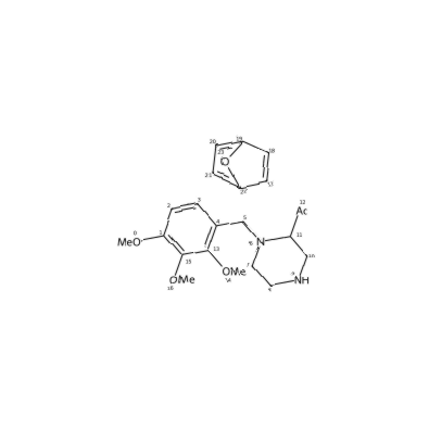 COc1ccc(CN2CCNCC2C(C)=O)c(OC)c1OC.c1cc2ccc1o2